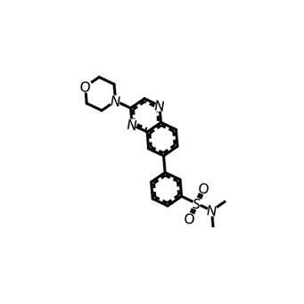 CN(C)S(=O)(=O)c1cccc(-c2ccc3ncc(N4CCOCC4)nc3c2)c1